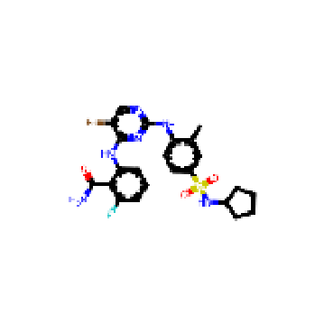 Cc1cc(S(=O)(=O)NC2CCCC2)ccc1Nc1ncc(Br)c(Nc2cccc(F)c2C(N)=O)n1